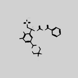 CNS(=O)(=O)C[C@](C)(NC(=S)NC(=O)c1ccccc1)c1cc(C2OCC(C)(C)CO2)cc(F)c1F